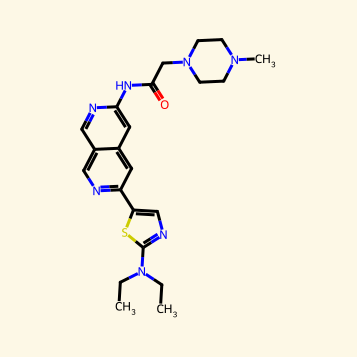 CCN(CC)c1ncc(-c2cc3cc(NC(=O)CN4CCN(C)CC4)ncc3cn2)s1